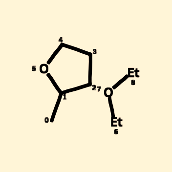 CC1CCCO1.CCOCC